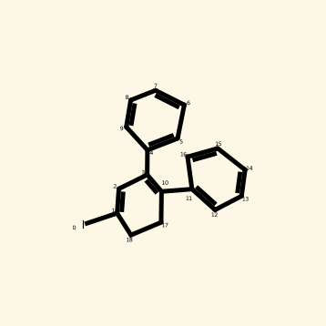 IC1=CC(c2ccccc2)=C(c2ccccc2)CC1